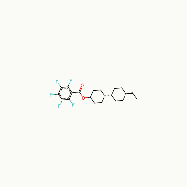 CC[C@H]1CC[C@H](C2CCC(OC(=O)c3c(F)c(F)c(F)c(F)c3F)CC2)CC1